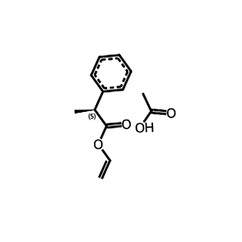 C=COC(=O)[C@@H](C)c1ccccc1.CC(=O)O